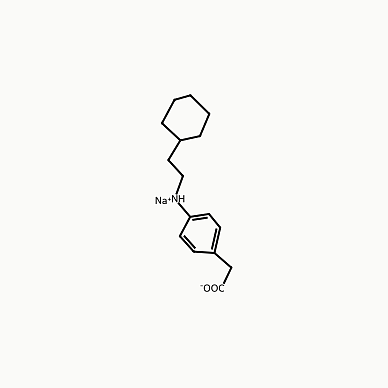 O=C([O-])Cc1ccc(NCCC2CCCCC2)cc1.[Na+]